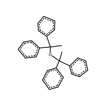 CC(OC(C)(c1ccccc1)c1ccccc1)(c1ccccc1)c1ccccc1